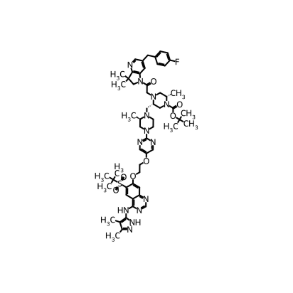 Cc1n[nH]c(Nc2ncnc3cc(OCCOc4cnc(N5CCN(C[C@H]6CN(C(=O)OC(C)(C)C)[C@@H](C)CN6CC(=O)N6CC(C)(C)c7ncc(Cc8ccc(F)cc8)cc76)[C@H](C)C5)nc4)c(S(=O)(=O)C(C)(C)C)cc23)c1C